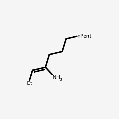 CC/C=C(\N)CCCCCCCC